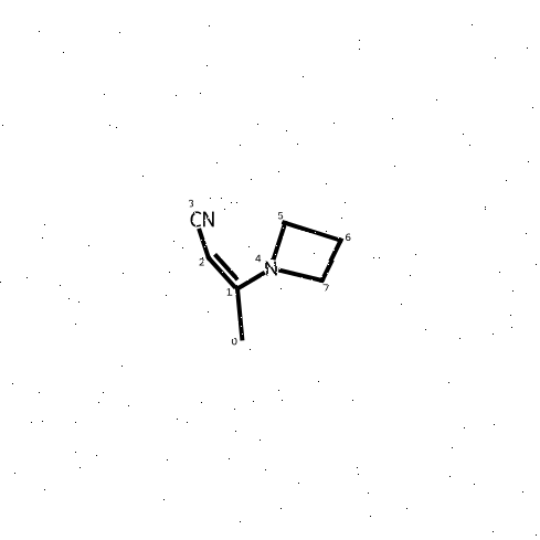 C/C(=C/C#N)N1CCC1